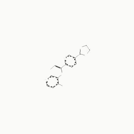 C/C=C(\Sc1cnccc1Cl)c1ccc(C2OCCO2)cn1